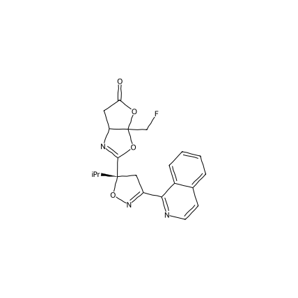 CC(C)[C@@]1(C2=NC3CC(=O)OC3(CF)O2)CC(c2nccc3ccccc23)=NO1